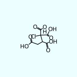 O=C(O)CC(C(=O)O)C(Cl)(C(=O)O)C(=O)O